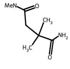 CNC(=O)CC(C)(C)C(N)=O